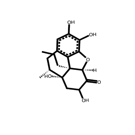 CCC[C@]12c3c4cc(O)c(O)c3O[C@H]1C(=O)C(O)C[C@@]2(O)[C@H](C)C4